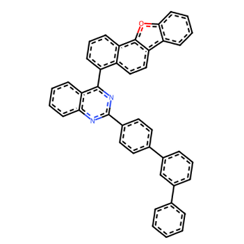 c1ccc(-c2cccc(-c3ccc(-c4nc(-c5cccc6c5ccc5c7ccccc7oc65)c5ccccc5n4)cc3)c2)cc1